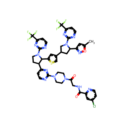 Cc1cc(C2CC(c3csc(C4C(c5ccnc(N6CCN(C(=O)CNC(=O)c7cc(Cl)ccn7)CC6)n5)CCN4c4nccc(C(F)(F)F)n4)c3)CN2c2nccc(C(F)(F)F)n2)no1